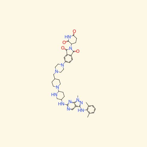 Cc1cccc(C)c1Nc1nn(C)c2nc(NC3CCC(N4CCC(CN5CCN(c6ccc7c(c6)C(=O)N(C6CCC(=O)NC6=O)C7=O)CC5)CC4)NC3)ncc12